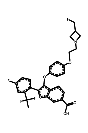 CC(F)(F)c1cc(F)ccc1-c1sc2cc(C(=O)O)ccc2c1Oc1ccc(OCCN2CC(CF)C2)cc1